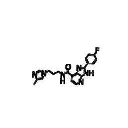 Cc1cn(CCCNC(=O)c2ccnc3[nH]c(-c4ccc(F)cc4)nc23)cn1